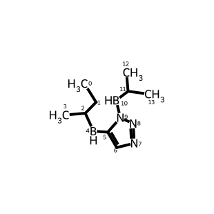 CCC(C)Bc1cnnn1BC(C)C